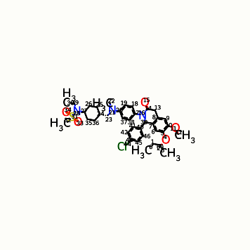 CC[C@@H](C)Oc1cc2c(cc1OC)CC(=O)N(c1ccc(N(C)C[C@H]3CC[C@H](N(CC)S(C)(=O)=O)CC3)cc1)C2c1ccc(Cl)cc1